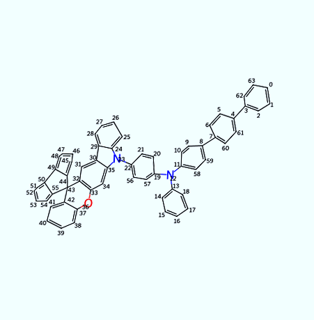 c1ccc(-c2ccc(-c3ccc(N(c4ccccc4)c4ccc(-n5c6ccccc6c6cc7c(cc65)Oc5ccccc5C75c6ccccc6-c6ccccc65)cc4)cc3)cc2)cc1